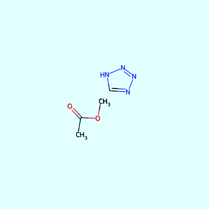 COC(C)=O.c1nnn[nH]1